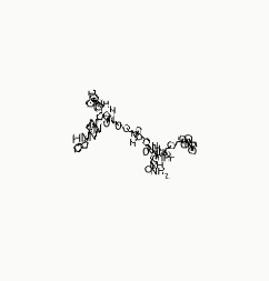 CC(C)C(NC(=O)CCOCCC(=O)ON1C(=O)C=CC1=O)C(=O)N[C@H](CCCNC(N)=O)C(=O)Nc1ccc(COC(=O)NCCOCCOCCNC(=O)O[C@H]2C[C@H](n3ccc4c(N[C@H]5CCc6ccccc65)ncnc43)C[C@H]2CON[SH](=O)=O)cc1